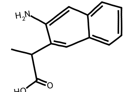 CC(C(=O)O)c1cc2ccccc2cc1N